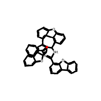 c1ccc(C2=NC(c3cccc4oc5cccc(-c6ccc7oc8ccccc8c7c6)c5c34)NC(c3cccc4c3oc3ccccc34)=N2)cc1